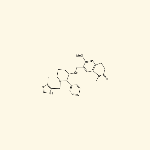 COc1cc2c(cc1CNC1CCCN(Cc3[nH]cnc3C)C1c1ccccc1)N(C)C(=O)CC2